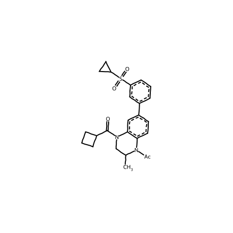 CC(=O)N1c2ccc(-c3cccc(S(=O)(=O)C4CC4)c3)cc2N(C(=O)C2CCC2)CC1C